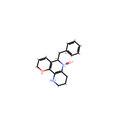 O=[N+]1C2=C(NCCC2)C2=C(C=CCO2)C1Cc1ccccc1